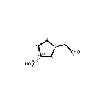 O=CCN1CC[C@@H](C(=O)O)C1